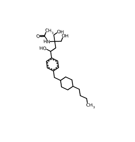 CCCCC1CCC(Cc2ccc(C(O)CC(CO)(CO)NC(C)=O)cc2)CC1